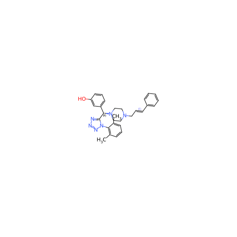 Cc1cccc(C)c1-n1nnnc1[C@@H](c1cccc(O)c1)N1CCN(C/C=C/c2ccccc2)CC1